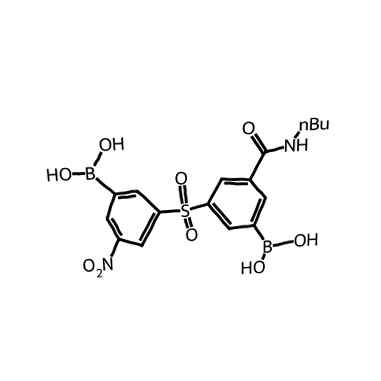 CCCCNC(=O)c1cc(B(O)O)cc(S(=O)(=O)c2cc(B(O)O)cc([N+](=O)[O-])c2)c1